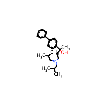 CC(C)CN(CCC(C)(O)c1ccc(-c2ccccc2)cc1)CC(C)C